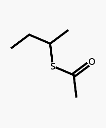 CCC(C)SC(C)=O